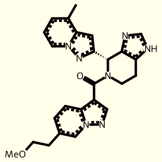 COCCc1ccc2c(C(=O)N3CCc4[nH]cnc4[C@H]3c3cc4c(C)cccn4n3)cnn2c1